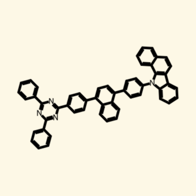 c1ccc(-c2nc(-c3ccccc3)nc(-c3ccc(-c4ccc(-c5ccc(-n6c7ccccc7c7ccc8ccccc8c76)cc5)c5ccccc45)cc3)n2)cc1